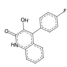 O=c1[nH]c2ccccc2c(-c2ccc(F)cc2)c1O